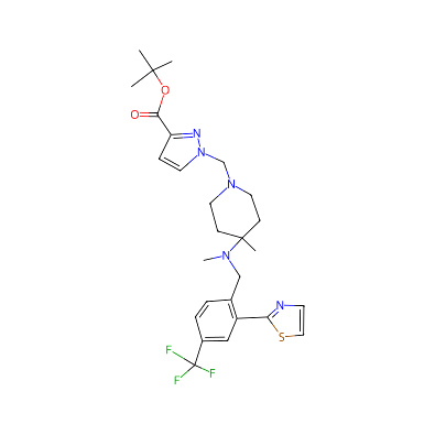 CN(Cc1ccc(C(F)(F)F)cc1-c1nccs1)C1(C)CCN(Cn2ccc(C(=O)OC(C)(C)C)n2)CC1